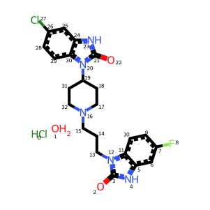 Cl.O.O=c1[nH]c2cc(F)ccc2n1CCCN1CCC(n2c(=O)[nH]c3cc(Cl)ccc32)CC1